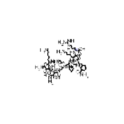 N=C(N)NCC/C=C(\NC(=O)[C@H](CCCCN)NC(=O)[C@H](Cc1cccc(C(N)=O)c1)NC(=O)[C@@H]1CCCN1C(=O)[C@@H](CCCN)NC(=O)CNC(=O)[C@@H](NC(=O)[C@@H](NC(=O)[C@@H](N)CCCCN)[C@@H](O)CN)[C@@H](O)CN)C(=O)O